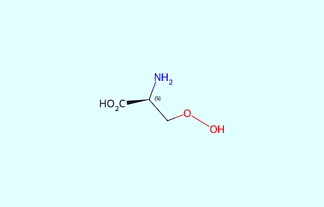 N[C@@H](COO)C(=O)O